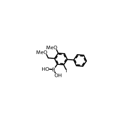 COCc1c(OC)cc(-c2ccccc2)c(I)c1B(O)O